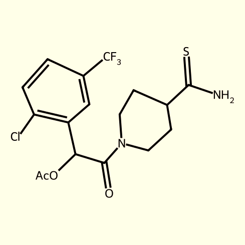 CC(=O)OC(C(=O)N1CCC(C(N)=S)CC1)c1cc(C(F)(F)F)ccc1Cl